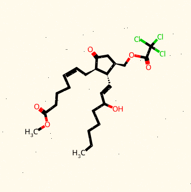 CCCCCC(O)/C=C/[C@H]1[C@H](COC(=O)C(Cl)(Cl)Cl)CC(=O)[C@@H]1C/C=C\CCCC(=O)OC